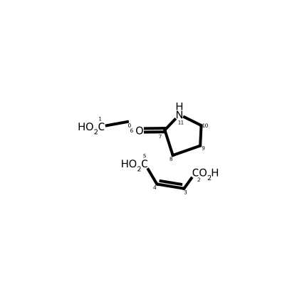 CC(=O)O.O=C(O)/C=C\C(=O)O.O=C1CCCN1